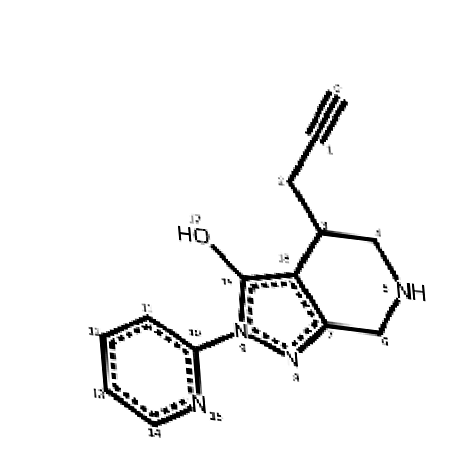 C#CCC1CNCc2nn(-c3ccccn3)c(O)c21